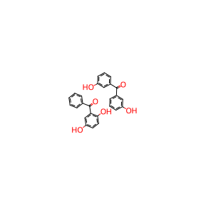 O=C(c1cccc(O)c1)c1cccc(O)c1.O=C(c1ccccc1)c1cc(O)ccc1O